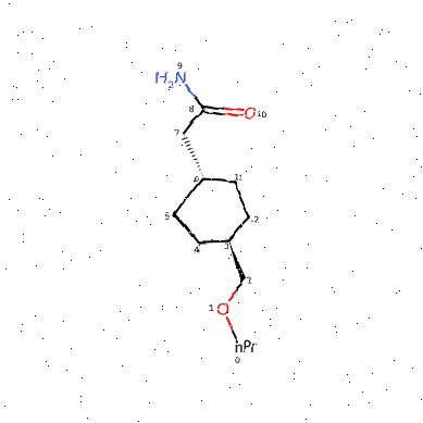 CCCOC[C@H]1CC[C@H](CC(N)=O)CC1